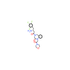 N[C@@H](CC(=O)N1CC(=O)N(CC(=O)N2CCOCC2)c2ccccc2C1)Cc1cc(F)c(F)cc1F